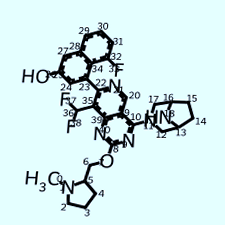 CN1CCCC1COc1nc(N2CC3CCC(C2)N3)c2cnc(-c3cc(O)cc4cccc(F)c34)c(C(F)F)c2n1